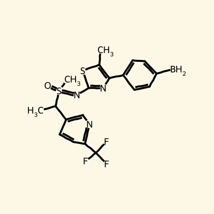 Bc1ccc(-c2nc(N=S(C)(=O)C(C)c3ccc(C(F)(F)F)nc3)sc2C)cc1